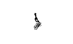 CCc1ccc(C[N+](=O)[O-])cc1